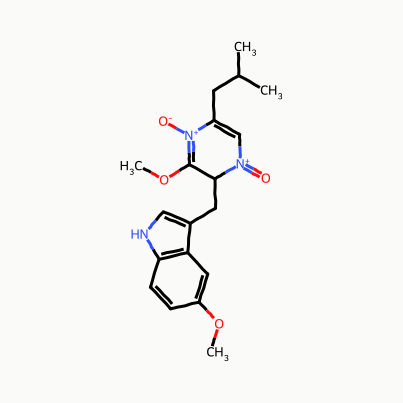 COC1=[N+]([O-])C(CC(C)C)=C[N+](=O)C1Cc1c[nH]c2ccc(OC)cc12